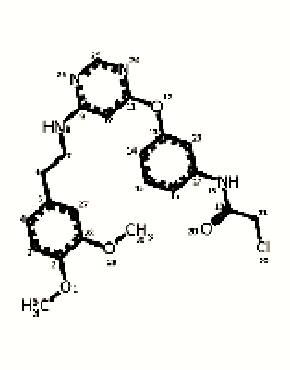 COc1ccc(CCNc2cc(Oc3cccc(NC(=O)CCl)c3)ncn2)cc1OC